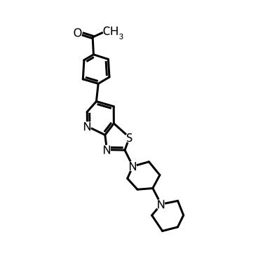 CC(=O)c1ccc(-c2cnc3nc(N4CCC(N5CCCCC5)CC4)sc3c2)cc1